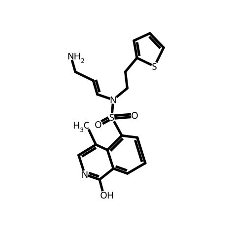 Cc1cnc(O)c2cccc(S(=O)(=O)N(C=CCN)CCc3cccs3)c12